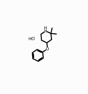 CC1(C)CC(Oc2ccccc2)CCN1.Cl